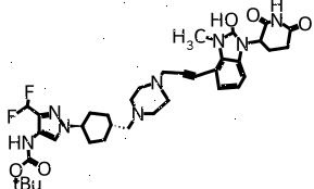 CN1c2c(C#CCN3CCN(C[C@H]4CC[C@H](n5cc(NC(=O)OC(C)(C)C)c(C(F)F)n5)CC4)CC3)cccc2N(C2CCC(=O)NC2=O)C1O